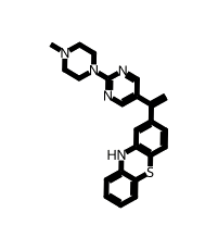 C=C(c1cnc(N2CCN(C)CC2)nc1)c1ccc2c(c1)Nc1ccccc1S2